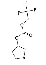 O=C(OCC(F)(F)F)OC1CCSC1